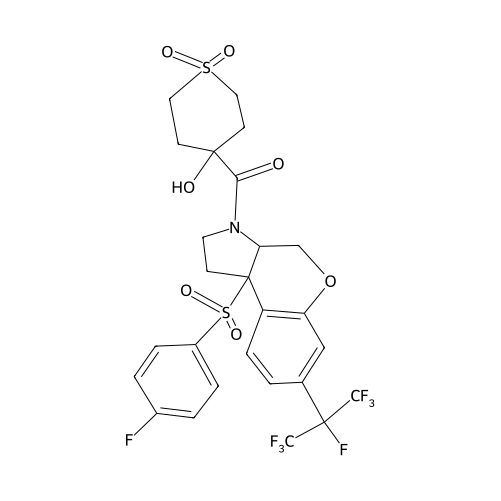 O=C(N1CCC2(S(=O)(=O)c3ccc(F)cc3)c3ccc(C(F)(C(F)(F)F)C(F)(F)F)cc3OCC12)C1(O)CCS(=O)(=O)CC1